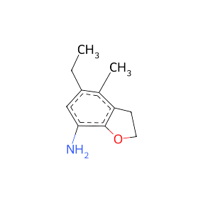 CCc1cc(N)c2c(c1C)CCO2